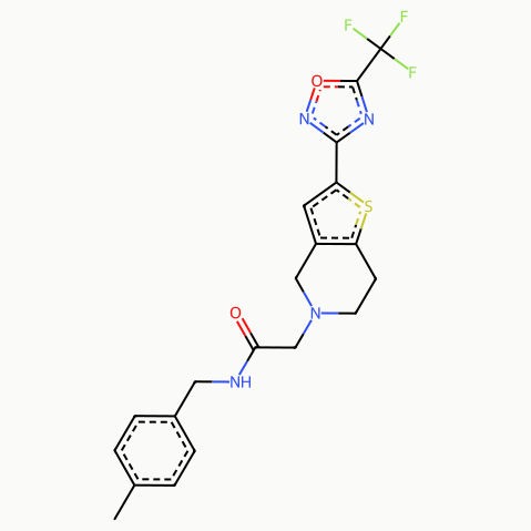 Cc1ccc(CNC(=O)CN2CCc3sc(-c4noc(C(F)(F)F)n4)cc3C2)cc1